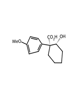 COc1ccc([C@]2(C(=O)O)CCCC[C@H]2O)cc1